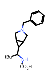 CC(C)(C)C(NC(=O)O)C1C2CN(Cc3ccccc3)CC21